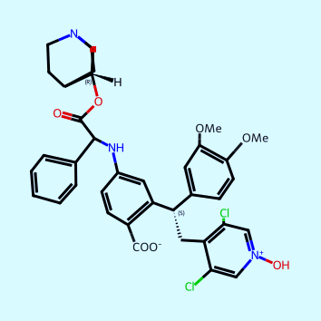 COc1ccc([C@H](Cc2c(Cl)c[n+](O)cc2Cl)c2cc(NC(C(=O)O[C@H]3CN4CCC3CC4)c3ccccc3)ccc2C(=O)[O-])cc1OC